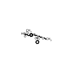 CCCOCCCN(CCOc1ccc(CC(OCC)C(=O)O)cc1)C(=O)OC1CCCCC1